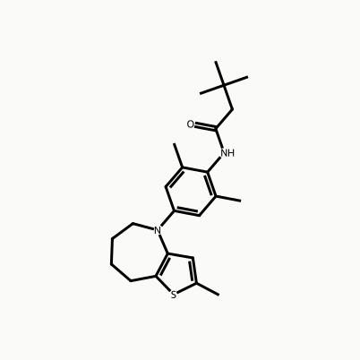 Cc1cc2c(s1)CCCCN2c1cc(C)c(NC(=O)CC(C)(C)C)c(C)c1